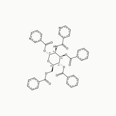 O=C(N[C@@H]1[C@@H](OC(=O)c2cccnc2)O[C@H](COC(=O)c2ccccc2)[C@@H](OC(=O)c2ccccc2)[C@@H]1OC(=O)c1ccccc1)c1cccnc1